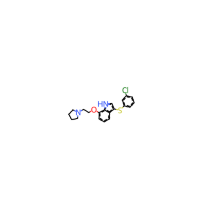 Clc1cccc(Sc2c[nH]c3c(OCCN4CCCC4)cccc23)c1